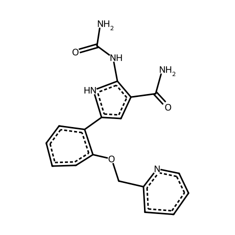 NC(=O)Nc1[nH]c(-c2ccccc2OCc2ccccn2)cc1C(N)=O